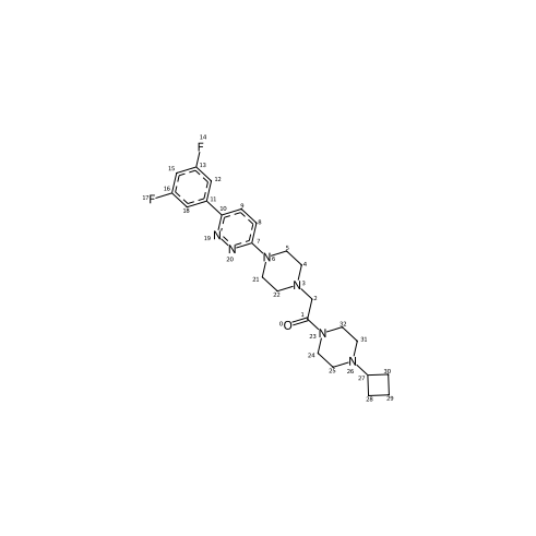 O=C(CN1CCN(c2ccc(-c3cc(F)cc(F)c3)nn2)CC1)N1CCN(C2CCC2)CC1